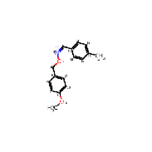 COc1ccc(CO/N=[C]\c2ccc(C)cc2)cc1